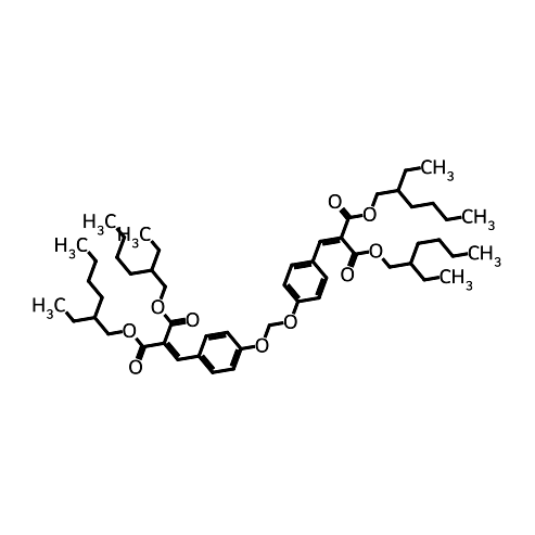 CCCCC(CC)COC(=O)C(=Cc1ccc(OCOc2ccc(C=C(C(=O)OCC(CC)CCCC)C(=O)OCC(CC)CCCC)cc2)cc1)C(=O)OCC(CC)CCCC